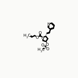 C=CCOC(=O)N1C[C@H](OS(C)(=O)=O)C[C@H]1C=Cc1cccnc1